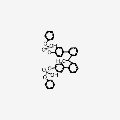 CC(c1ccccc1-c1ccc(OP(=O)(O)Oc2ccccc2)cc1)c1ccccc1-c1ccc(OP(=O)(O)Oc2ccccc2)cc1